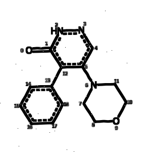 O=c1[nH]ncc(N2CCOCC2)c1-c1ccccc1